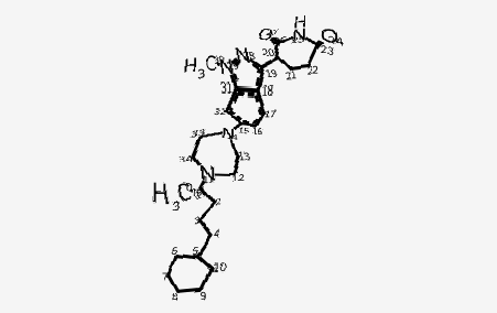 C[C@@H](CCCC1CCCCC1)N1CCN(c2ccc3c(C4CCC(=O)NC4=O)nn(C)c3c2)CC1